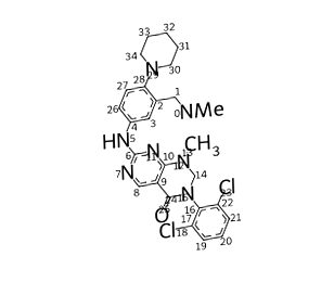 CNCc1cc(Nc2ncc3c(n2)N(C)CN(c2c(Cl)cccc2Cl)C3=O)ccc1N1CCCCC1